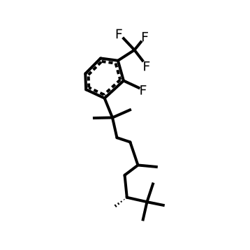 CC(CCC(C)(C)c1cccc(C(F)(F)F)c1F)C[C@@H](C)C(C)(C)C